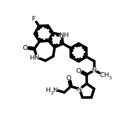 CN(Cc1ccc(-c2[nH]c3cc(F)cc4c3c2CCNC4=O)cc1)C(=O)C1CCCN1C(=O)CN